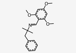 COc1cc(OC)c(C=NC(C)(C)Cc2ccccc2)c(OC)c1